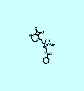 [CH2]O[PH](O)(CCN1CCCNc2c1c(=O)c2=O)OCOC(=O)C1CCCCC1